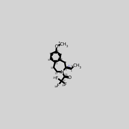 C/C=C1\Cc2cc(OC)ccc2CCN1C(=O)C(F)(F)F